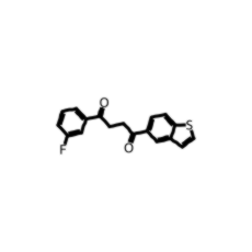 O=C(CCC(=O)c1ccc2sccc2c1)c1cccc(F)c1